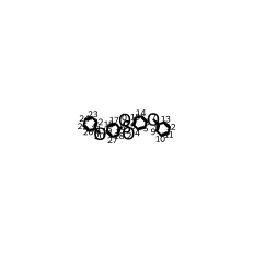 O=S(=O)(c1ccc(Oc2ccccc2)cc1)c1ccc(Oc2ccccc2)cc1